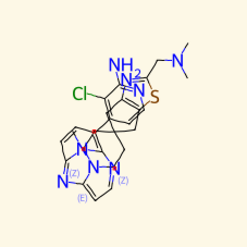 CN(C)Cc1nc2c(s1)CC1(CCN(C3=C\C=N/C4=C(c5ccnc(N)c5Cl)C=C\C(=N\3)N4C)CC1)C2